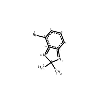 CC1(C)N=c2cccc(Br)c2=N1